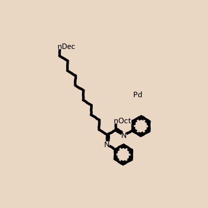 CCCCCCCCCCCCCCCCCCCCCC(=Nc1ccccc1)C(CCCCCCCC)=Nc1ccccc1.[Pd]